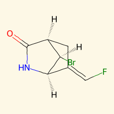 O=C1N[C@@H]2/C(=C/F)C[C@H]1[C@H]2Br